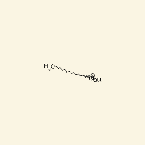 CCCCCCCCCCCCCCCC[13CH2][13C](=O)O